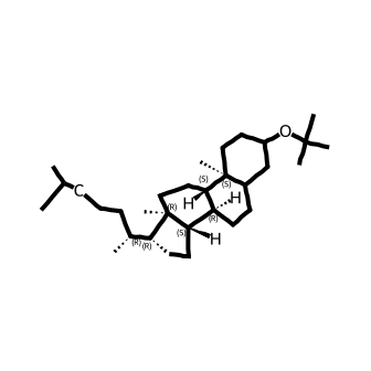 CC(C)CCC[C@@H](C)[C@H]1CC[C@H]2[C@@H]3CCC4CC(OC(C)(C)C)CC[C@]4(C)[C@H]3CC[C@]12C